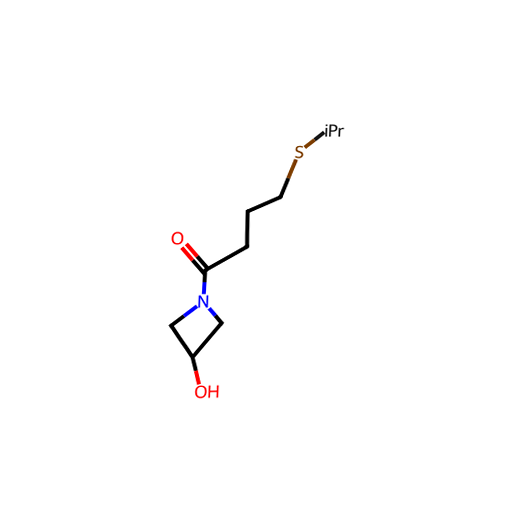 CC(C)SCCCC(=O)N1CC(O)C1